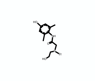 CCN(CCO)CC(=O)Nc1c(C)cc(O)cc1C